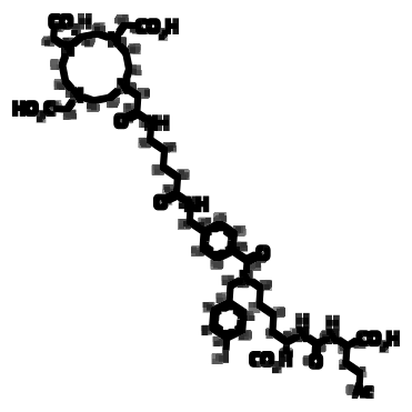 CC(=O)CC[C@@H](NC(=O)N[C@H](CCCCN(Cc1ccc(I)cc1)C(=O)c1ccc(CNC(=O)CCCCNC(=O)CN2CCN(CC(=O)O)CCN(CC(=O)O)CCN(CC(=O)O)CC2)cc1)C(=O)O)C(=O)O